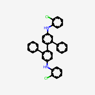 Clc1ccccc1Nc1ccc(-c2ccc(Nc3ccccc3Cl)cc2-c2ccccc2)c(-c2ccccc2)c1